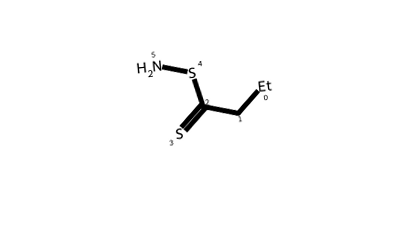 CCCC(=S)SN